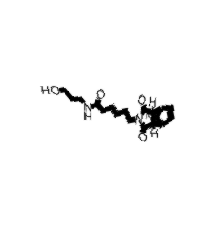 O=C(CCCCCN1C(=O)[C@@H]2C3C=CC(C3)[C@@H]2C1=O)NCCCO